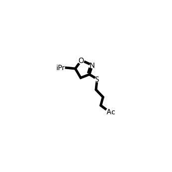 CC(=O)CCCSC1=NOC(C(C)C)C1